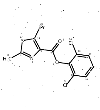 Cc1nc(C(=O)Oc2c(Cl)cccc2Cl)c(C(C)C)s1